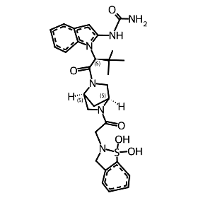 CC(C)(C)[C@@H](C(=O)N1C[C@@H]2C[C@H]1CN2C(=O)CN1Cc2ccccc2S1(O)O)n1c(NC(N)=O)cc2ccccc21